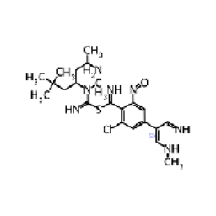 CN/C=C(\C=N)c1cc(Cl)c(C(=N)SC(=N)N(C)C(CC(C)N)CC(C)(C)C)c(N=O)c1